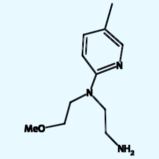 COCCN(CCN)c1ccc(C)cn1